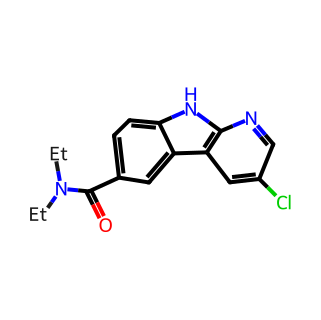 CCN(CC)C(=O)c1ccc2[nH]c3ncc(Cl)cc3c2c1